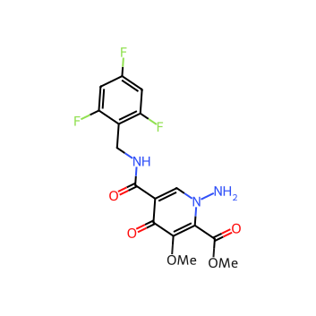 COC(=O)c1c(OC)c(=O)c(C(=O)NCc2c(F)cc(F)cc2F)cn1N